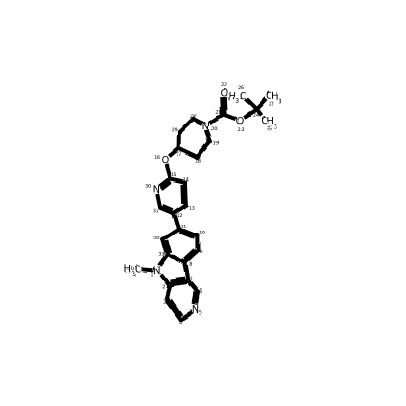 Cn1c2ccncc2c2ccc(-c3ccc(OC4CCN(C(=O)OC(C)(C)C)CC4)nc3)cc21